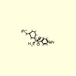 CC(C)CC1CCCC(N(C)S(=O)(=O)c2ccc(C(C)C)cc2)C1